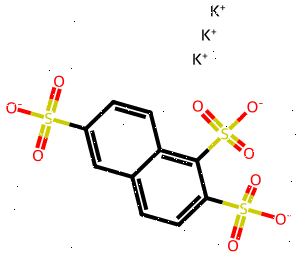 O=S(=O)([O-])c1ccc2c(S(=O)(=O)[O-])c(S(=O)(=O)[O-])ccc2c1.[K+].[K+].[K+]